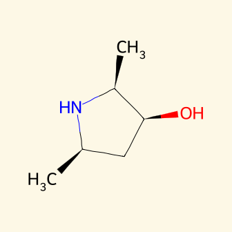 C[C@@H]1C[C@H](O)[C@H](C)N1